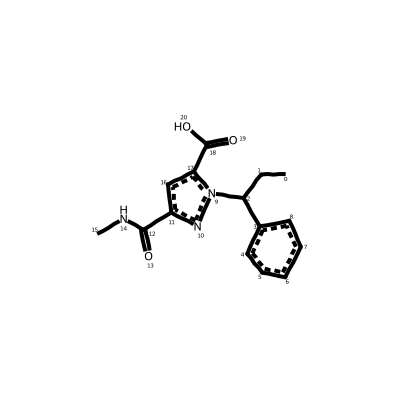 CCC(c1ccccc1)n1nc(C(=O)NC)cc1C(=O)O